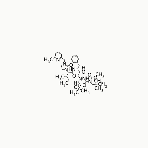 CCC(C)C(C(=O)NC(Cc1ccccc1)C(O)CN(CCC(C)(C)C)NC(=O)N(CC(C)(C)C)C(=O)OC)N1CCN(Cc2cccc(C)n2)C1=O